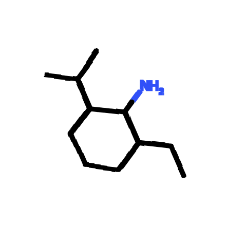 CCC1CCCC(C(C)C)C1N